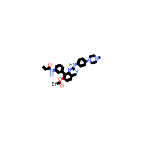 C=CC(=O)Nc1cccc(-c2c(OC(=O)CC)ccc3cnc(Nc4ccc(N5CCN(C)CC5)cc4)nc23)c1